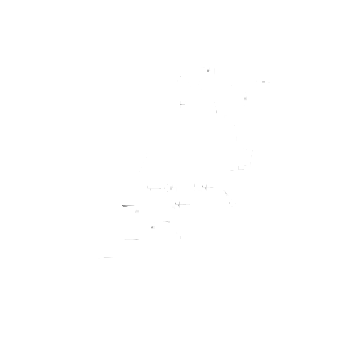 CCCCC[C@@H](C(=O)NCNC(=O)c1ccc(-c2cc(O)cc(P(=O)(O)O)c2)o1)[C@@H](CC)N(O)C=O